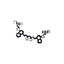 O=C(/C=C/c1ccc(OCCNCl)c2ccccc12)CC(=O)/C=C/c1ccc(OCCNCl)c2ccccc12